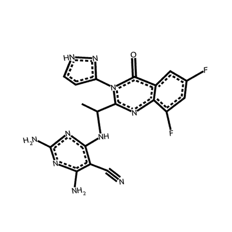 CC(Nc1nc(N)nc(N)c1C#N)c1nc2c(F)cc(F)cc2c(=O)n1-c1cc[nH]n1